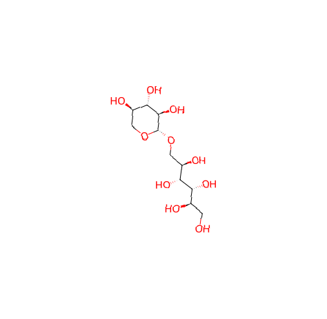 OC[C@@H](O)[C@@H](O)[C@H](O)[C@H](O)CO[C@@H]1OC[C@@H](O)[C@H](O)[C@H]1O